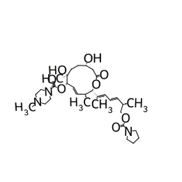 C/C(=C\C=C\[C@@H](C)COC(=O)N1CCCC1)[C@H]1OC(=O)C[C@@H](O)CC[C@](C)(O)C(OC(=O)N2CCN(C)CC2)/C=C/[C@@H]1C